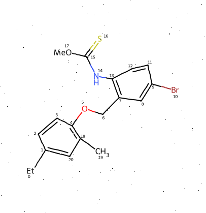 CCc1ccc(OCc2cc(Br)ccc2NC(=S)OC)c(C)c1